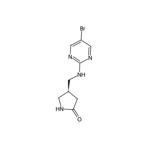 O=C1C[C@H](CNc2ncc(Br)cn2)CN1